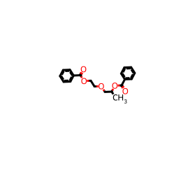 CC(COCCOC(=O)c1ccccc1)OC(=O)c1ccccc1